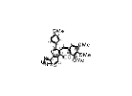 COc1ccc(C(=O)C(Cc2cc(OC)c(OC)c(OC)c2)=C(C(=O)O)c2ccc3nonc3c2)cc1